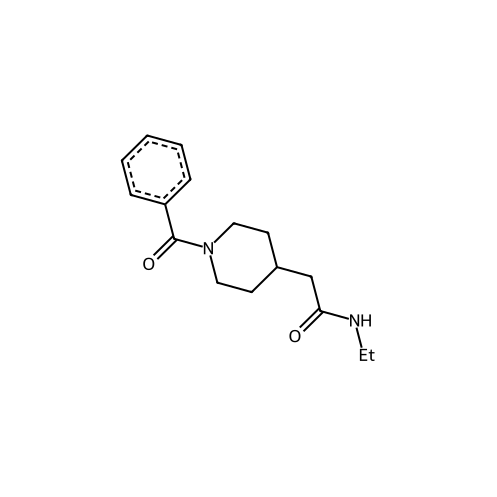 CCNC(=O)CC1CCN(C(=O)c2ccccc2)CC1